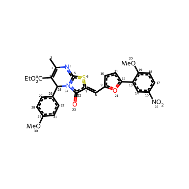 CCOC(=O)C1=C(C)N=c2s/c(=C\c3ccc(-c4cc([N+](=O)[O-])ccc4OC)o3)c(=O)n2C1c1ccc(OC)cc1